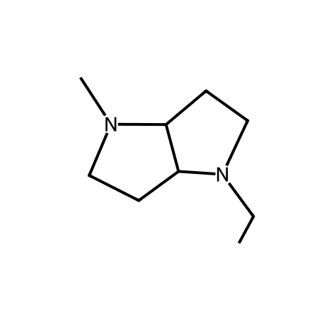 CCN1CCC2C1CCN2C